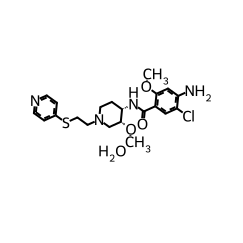 COc1cc(N)c(Cl)cc1C(=O)N[C@H]1CCN(CCSc2ccncc2)C[C@H]1OC.O